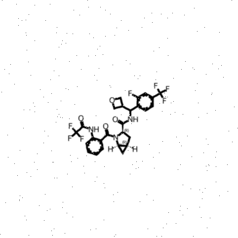 O=C(NC(c1ccc(C(F)(F)F)cc1F)C1COC1)[C@H]1C[C@H]2C[C@H]2N1C(=O)c1ccccc1NC(=O)C(F)(F)F